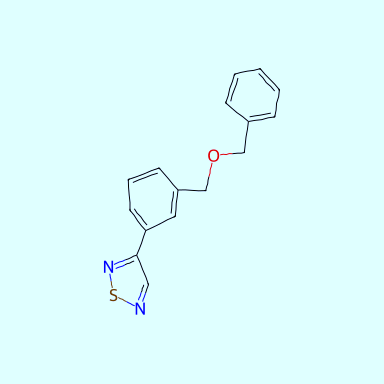 c1ccc(COCc2cccc(-c3cnsn3)c2)cc1